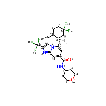 Cc1cc(C(=O)NC2CCOCC2)[c]c2nc(C(F)(F)F)c(CC3CCC(F)(F)CC3)n12